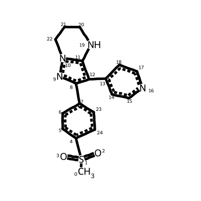 CS(=O)(=O)c1ccc(-c2nn3c(c2-c2ccncc2)NCCC3)cc1